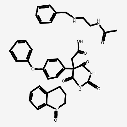 CC(=O)NCCNCc1ccccc1.O=C(O)CC1(c2ccc(Oc3ccccc3)cc2)C(=O)NC(=O)NC1=O.O=[N+]1CCCc2ccccc21